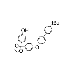 CC(C)(C)c1ccc(-c2ccc(Oc3ccc(C4(c5ccc(O)cc5)OCCO4)cc3)cc2)cc1